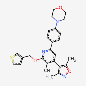 Cc1noc(C)c1-c1cc(-c2ccc(N3CCOCC3)cc2)nc(OCc2ccsc2)c1C#N